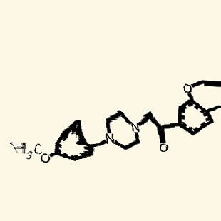 COc1ccc(N2CCN(CC(=O)c3ccc4c(c3)OC=CCO4)CC2)cc1